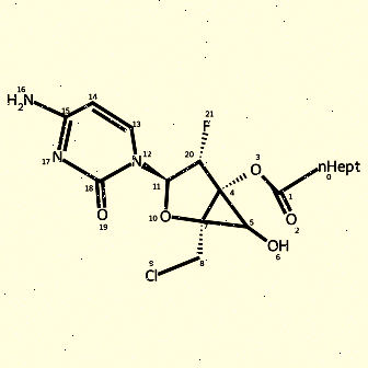 CCCCCCCC(=O)O[C@]12C(O)[C@@]1(CCl)O[C@@H](n1ccc(N)nc1=O)[C@@H]2F